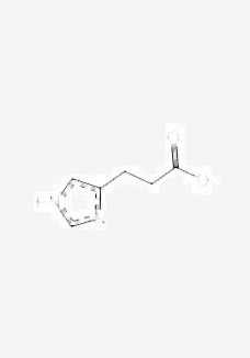 [O]C(=O)CCc1c[nH]cn1